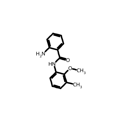 COc1c(C)cccc1NC(=O)c1ccccc1N